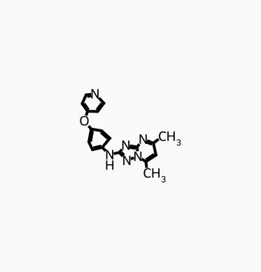 Cc1cc(C)n2nc(Nc3ccc(Oc4ccncc4)cc3)nc2n1